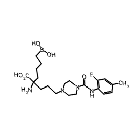 Cc1ccc(NC(=O)N2CCN(CCCC(N)(CCCCB(O)O)C(=O)O)CC2)c(F)c1